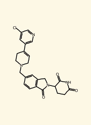 O=C1CCC(N2Cc3cc(CN4CC=C(c5cncc(Cl)c5)CC4)ccc3C2=O)C(=O)N1